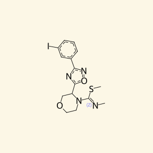 C/N=C(\SC)N1CCOCC1c1nc(-c2cccc(I)c2)no1